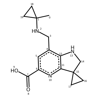 CC1(NCc2cc(C(=O)O)nc3c2NCC32CC2)CC1